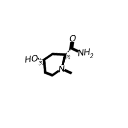 CN1CC[C@H](O)C[C@@H]1C(N)=O